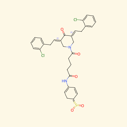 O=C(CCCC(=O)N1C/C(=C\Cc2ccccc2Cl)C(=O)/C(=C/Cc2ccccc2Cl)C1)NC1=CCC(=S(=O)=O)C=C1